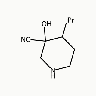 CC(C)C1CCNCC1(O)C#N